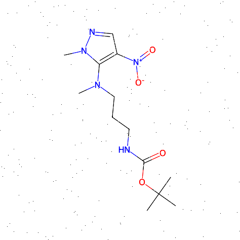 CN(CCCNC(=O)OC(C)(C)C)c1c([N+](=O)[O-])cnn1C